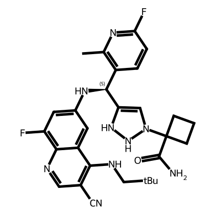 Cc1nc(F)ccc1[C@H](Nc1cc(F)c2ncc(C#N)c(NCC(C)(C)C)c2c1)C1=CN(C2(C(N)=O)CCC2)NN1